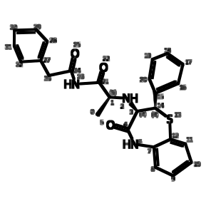 C[C@H](N[C@@H]1C(=O)Nc2ccccc2S[C@@H]1c1ccccc1)C(=O)NC(=O)Cc1ccccc1